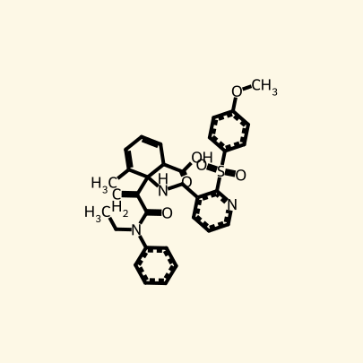 C=C(C(=O)N(CC)c1ccccc1)C1(NCc2cccnc2S(=O)(=O)c2ccc(OC)cc2)C(C)=CC=CC1C(=O)O